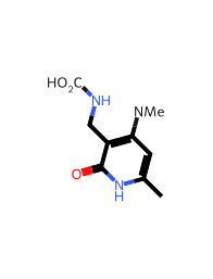 CNc1cc(C)[nH]c(=O)c1CNC(=O)O